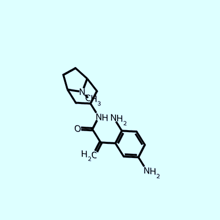 C=C(C(=O)NC1CC2CCC(C1)N2C)c1cc(N)ccc1N